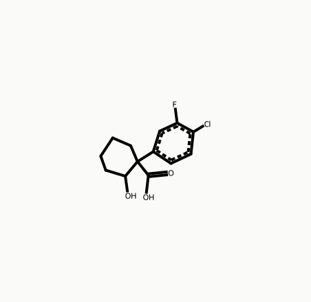 O=C(O)C1(c2ccc(Cl)c(F)c2)CCCCC1O